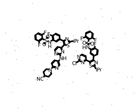 CC(C)c1nc(-c2ccc(F)c(NS(=O)(=O)c3c(F)cccc3F)c2)c(-c2ccnc(Cl)n2)s1.CC(C)c1nc(-c2ccc(F)c(NS(=O)(=O)c3c(F)cccc3F)c2)c(-c2ccnc(Nc3ccc(N4CCC(C#N)CC4)nc3)n2)s1